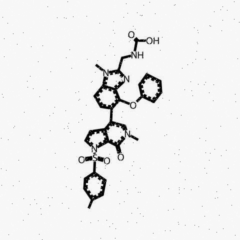 Cc1ccc(S(=O)(=O)n2ccc3c(-c4ccc5c(nc(CNC(=O)O)n5C)c4Oc4ccccc4)cn(C)c(=O)c32)cc1